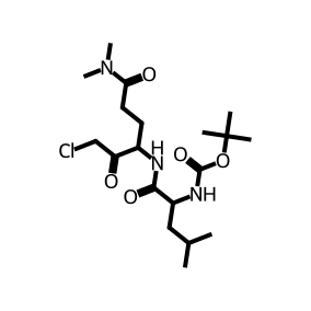 CC(C)CC(NC(=O)OC(C)(C)C)C(=O)NC(CCC(=O)N(C)C)C(=O)CCl